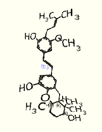 COc1cc(/C=C/c2cc(O)c3c(c2)C[C@@H]2C(C)(C)[C@H](O)CC[C@@]2(C)O3)cc(O)c1CC=C(C)C